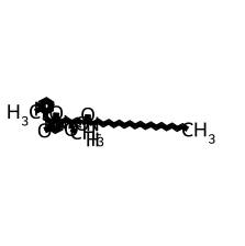 CCCCCCCCCCCCCCCCCCNC(=O)OCC(Cn1ccc(=O)n(Cc2cccc[n+]2C)c1=O)OC.[I-]